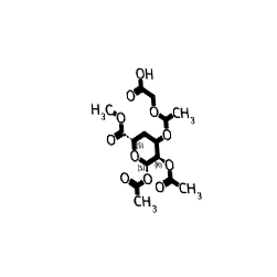 COC(=O)[C@@H]1CC(OC(C)OCC(=O)O)[C@@H](OC(C)=O)[C@H](OC(C)=O)O1